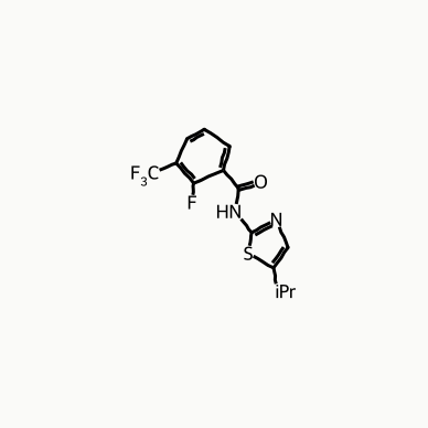 CC(C)c1cnc(NC(=O)c2cccc(C(F)(F)F)c2F)s1